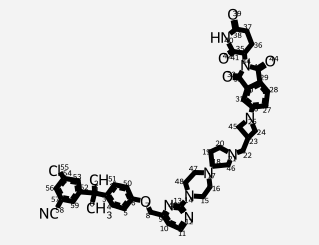 CC(C)(c1ccc(OCc2ccnc(N3CCN(C4CCN(CC5CN(c6ccc7c(c6)C(=O)N(C6CCC(=O)NC6=O)C7=O)C5)C4)CC3)n2)cc1)c1cc(Cl)cc(C#N)c1